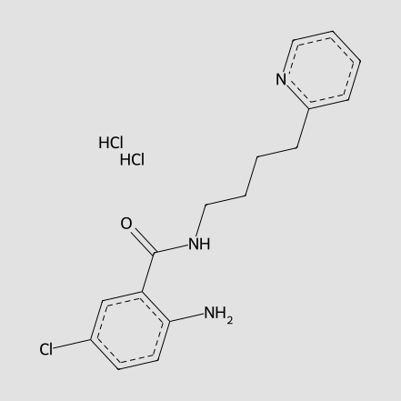 Cl.Cl.Nc1ccc(Cl)cc1C(=O)NCCCCc1ccccn1